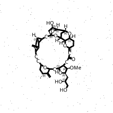 C=C1C2CCC3C[C@@H](C)C(=C)C(C[C@@H]4O[C@H](C[C@H](O)CO)[C@H](OC)C4CC(=O)C[C@H]4CC[C@@H]5O[C@@H]6C[C@@H](O[C@@]7(CC8C1[C@H]8O2)C[C@@H](O)[C@@H]6O7)[C@H]5O4)O3